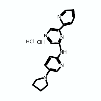 Cl.Cl.c1ccc(-c2cncc(Nc3ccc(N4CCCC4)cn3)n2)nc1